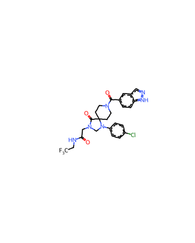 O=C(CN1CN(c2ccc(Cl)cc2)C2(CCN(C(=O)c3ccc4[nH]ncc4c3)CC2)C1=O)NCC(F)(F)F